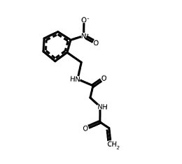 C=CC(=O)NCC(=O)NCc1ccccc1[N+](=O)[O-]